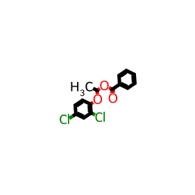 CC(OC(=O)c1ccccc1)Oc1ccc(Cl)cc1Cl